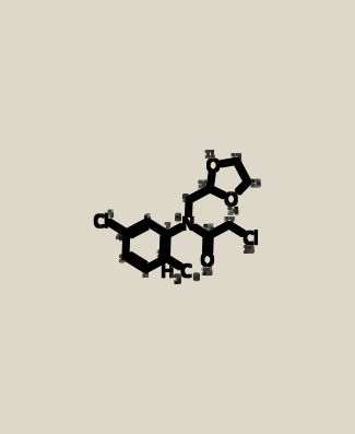 Cc1ccc(Cl)cc1N(CC1OCCO1)C(=O)CCl